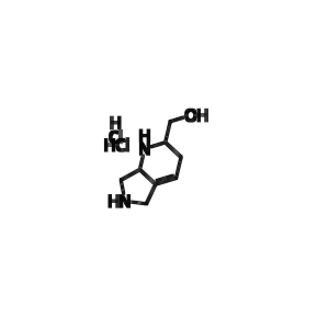 Cl.Cl.OCC1CC=C2CNCC2N1